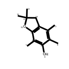 Cc1c(C)c2c(c(C)c1O)OC(C)(C)[CH]2